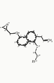 C=CCc1ccc2c(OCC3CO3)cccc2c1OCOCC